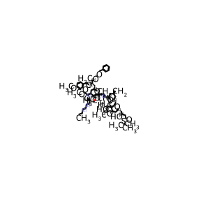 C=C1C[C@@H](CC2(C)O[C@H](C[C@@H](O)CC(=O)SC(C)(C)C)C[C@H](OC(C)=O)C2(C)C)O[C@@H](/C=C/C(C)(C)[C@]2(OC)O[C@H](C[C@@H](OCc3ccc(OC)cc3)[C@@H](C)OCOCc3ccccc3)C/C(=C\C(=O)OC)[C@@H]2OC(=O)/C=C/C=C/CCC)C1